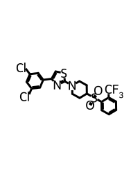 O=S(=O)(c1ccccc1C(F)(F)F)C1CCN(c2nc(-c3cc(Cl)cc(Cl)c3)cs2)CC1